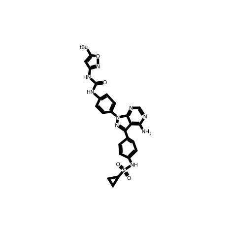 CC(C)(C)c1cc(NC(=O)Nc2ccc(-n3nc(-c4ccc(NS(=O)(=O)C5CC5)cc4)c4c(N)ncnc43)cc2)no1